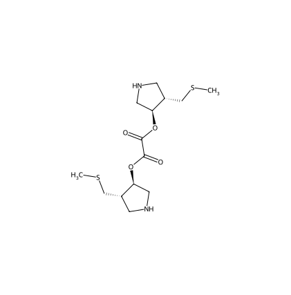 CSC[C@H]1CNC[C@@H]1OC(=O)C(=O)O[C@H]1CNC[C@@H]1CSC